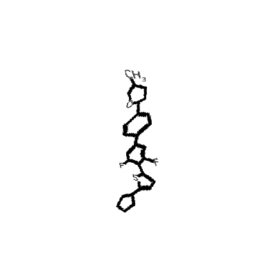 CC1CCC(c2ccc(-c3cc(F)c(-c4ccc(C5CCCC5)s4)c(F)c3)cc2)OC1